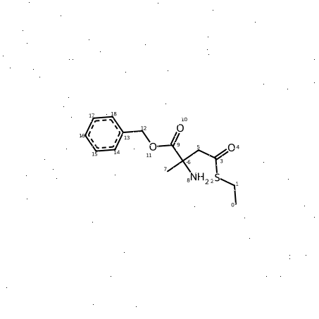 CCSC(=O)CC(C)(N)C(=O)OCc1ccccc1